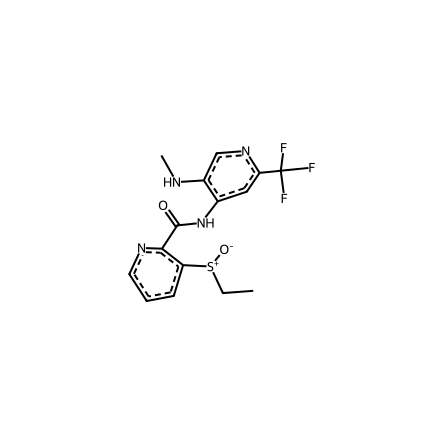 CC[S+]([O-])c1cccnc1C(=O)Nc1cc(C(F)(F)F)ncc1NC